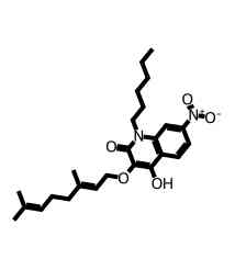 CCCCCCn1c(=O)c(OC/C=C(\C)CCC=C(C)C)c(O)c2ccc([N+](=O)[O-])cc21